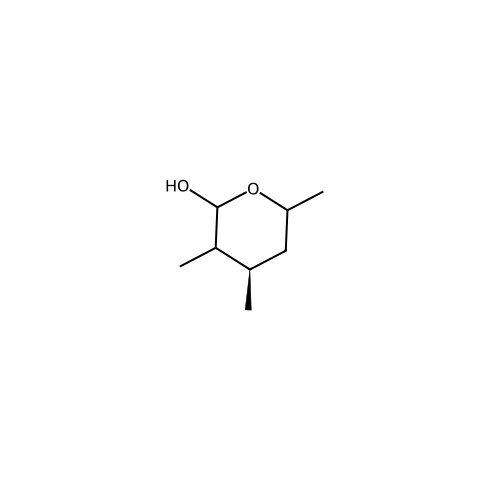 CC1C[C@@H](C)C(C)C(O)O1